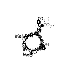 CNC(=O)C[C@@H]1NC(=O)c2csc(n2)-c2ccc(-c3nc(N(C(=O)C4CCC(C(=O)O)CC4)C4CC(C(=O)O)C4)cs3)nc2-c2csc(n2)-c2csc(n2)[C@H]([C@@H](O)c2ccccc2)NC(=O)CNC(=O)c2nc(sc2COC)C(C(C)C)NC(=O)c2nc1sc2C